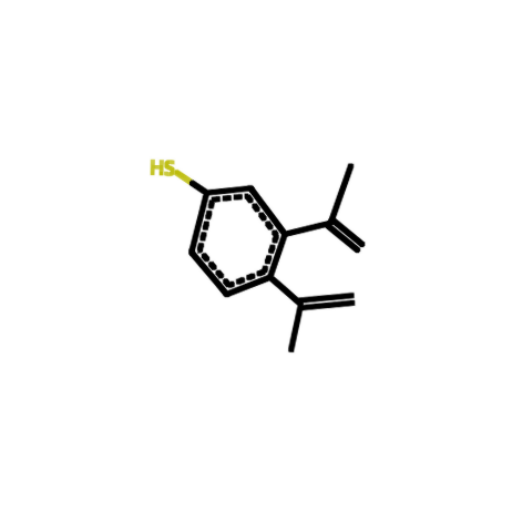 C=C(C)c1ccc(S)cc1C(=C)C